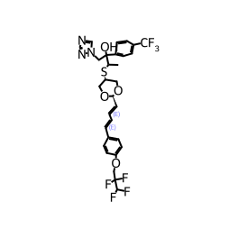 CC(S[C@H]1CO[C@H](/C=C/C=C/c2ccc(OCC(F)(F)C(F)F)cc2)OC1)C(O)(Cn1cncn1)c1ccc(C(F)(F)F)cc1